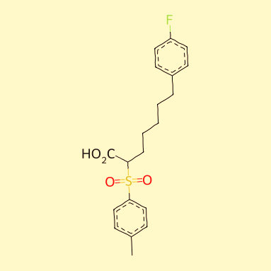 Cc1ccc(S(=O)(=O)C(CCCCCc2ccc(F)cc2)C(=O)O)cc1